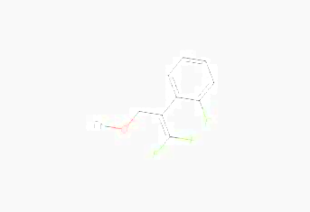 CCOCC(=C(F)F)c1ccccc1F